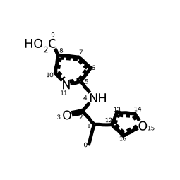 CC(C(=O)Nc1ccc(C(=O)O)cn1)c1ccoc1